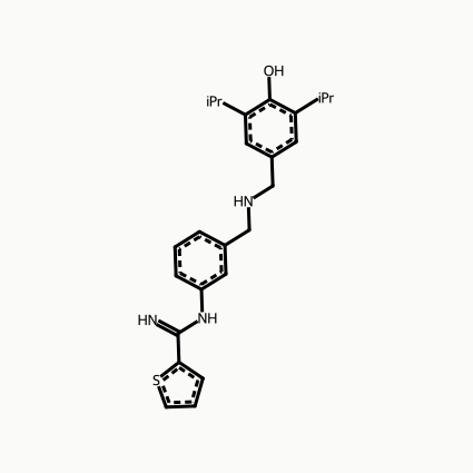 CC(C)c1cc(CNCc2cccc(NC(=N)c3cccs3)c2)cc(C(C)C)c1O